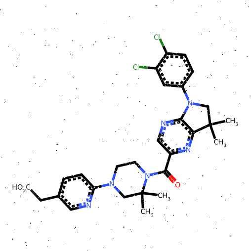 CC1(C)CN(c2ccc(Cl)c(Cl)c2)c2ncc(C(=O)N3CCN(c4ccc(CC(=O)O)cn4)CC3(C)C)nc21